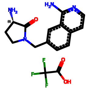 Nc1nccc2ccc(CN3CC[C@H](N)C3=O)cc12.O=C(O)C(F)(F)F